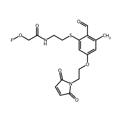 Cc1cc(OCCN2C(=O)C=CC2=O)cc(SCCNC(=O)COF)c1C=O